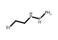 CCCCPPP